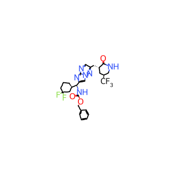 O=C(N[C@H](c1cn2nc(C[C@H]3C[C@H](C(F)(F)F)CNC3=O)cnc2n1)[C@@H]1CCCC(F)(F)C1)OCc1ccccc1